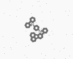 c1cc2c3c(cccc3c1)-c1c-2ccc2c3ccccc3n(-c3ccc(-n4c5ccccc5c5ccccc54)cc3)c12